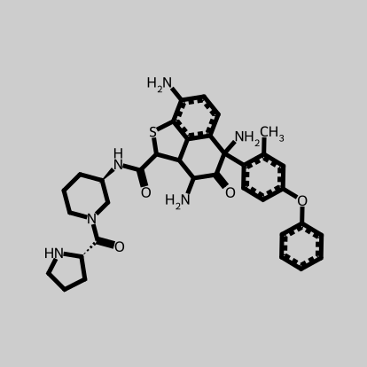 Cc1cc(Oc2ccccc2)ccc1C1(N)C(=O)C(N)C2c3c1ccc(N)c3SC2C(=O)N[C@@H]1CCCN(C(=O)[C@@H]2CCCN2)C1